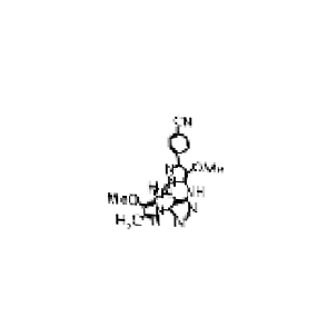 COc1c(-c2ccc(C#N)cc2)nn(C)c1Nc1cc(-n2nc(C)c(OC)c2C)ncn1